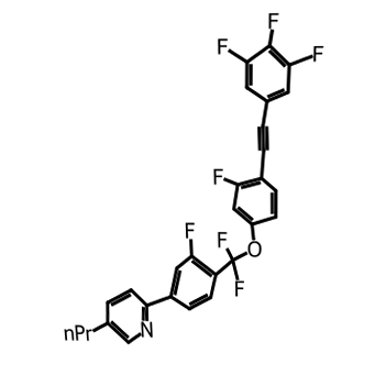 CCCc1ccc(-c2ccc(C(F)(F)Oc3ccc(C#Cc4cc(F)c(F)c(F)c4)c(F)c3)c(F)c2)nc1